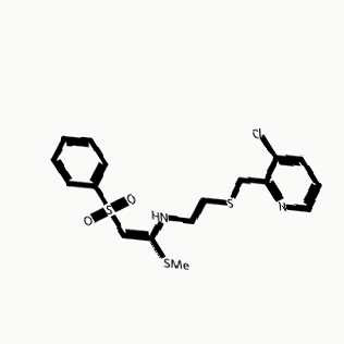 CSC(=CS(=O)(=O)c1ccccc1)NCCSCc1ncccc1Cl